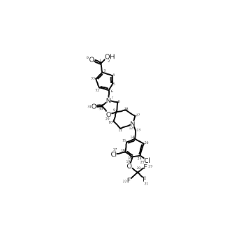 O=C(O)c1ccc(N2CC3(CCN(Cc4cc(Cl)c(OC(F)(F)F)c(Cl)c4)CC3)OC2=O)cc1